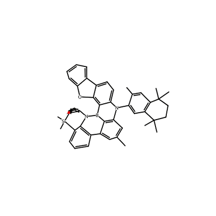 Cc1cc2c3c(c1)N(c1cc4c(cc1C)C(C)(C)CCC4(C)C)c1ccc4c(oc5ccccc54)c1B3N1c3ccccc3[Si](C)(C)c3cccc-2c31